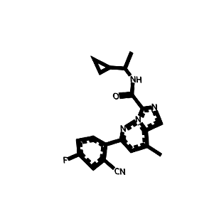 Cc1cc(-c2ccc(F)cc2C#N)nn2c(C(=O)NC(C)C3CC3)ncc12